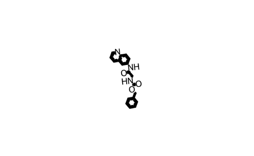 O=C(CNC(=O)OCc1ccccc1)Nc1ccc2ncccc2c1